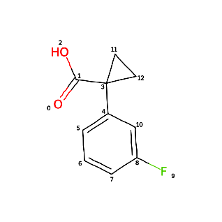 O=C(O)C1(c2cccc(F)c2)CC1